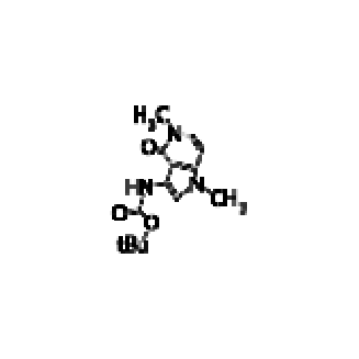 Cn1ccc2c(c(NC(=O)OC(C)(C)C)cn2C)c1=O